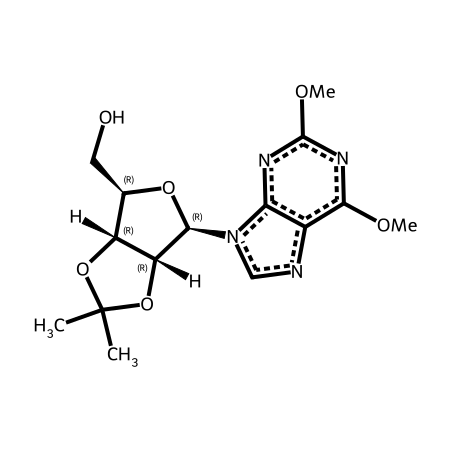 COc1nc(OC)c2ncn([C@@H]3O[C@H](CO)[C@H]4OC(C)(C)O[C@H]43)c2n1